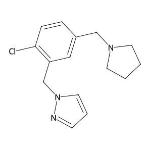 Clc1ccc(CN2CCCC2)cc1Cn1cccn1